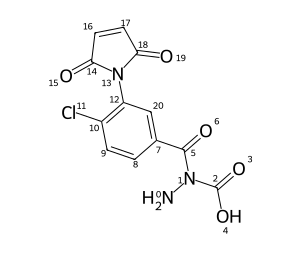 NN(C(=O)O)C(=O)c1ccc(Cl)c(N2C(=O)C=CC2=O)c1